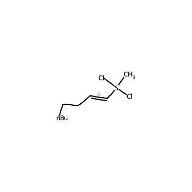 CCCCCC/C=C/S(C)(Cl)Cl